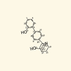 Oc1ccccc1-c1ccc(C2C(O)C3CCN2CC3)cc1